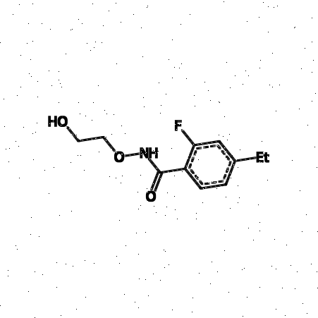 CCc1ccc(C(=O)NOCCO)c(F)c1